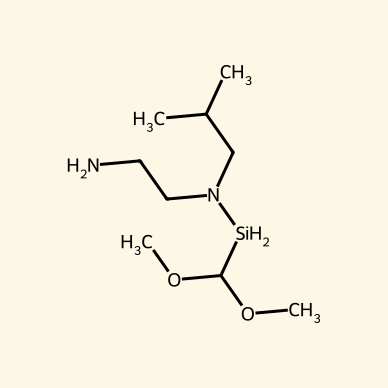 COC(OC)[SiH2]N(CCN)CC(C)C